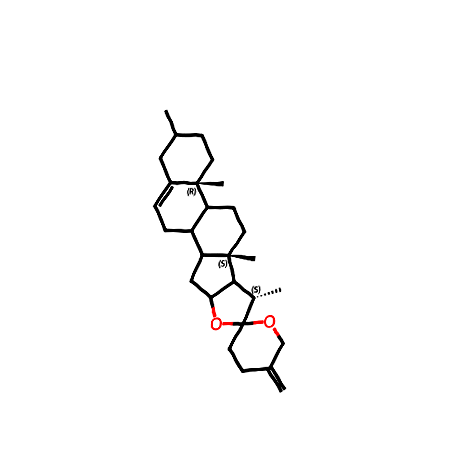 C=C1CCC2(OC1)OC1CC3C4CC=C5CC(C)CC[C@]5(C)C4CC[C@]3(C)C1[C@@H]2C